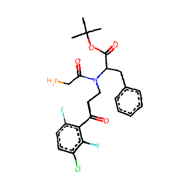 CC(C)(C)OC(=O)C(Cc1ccccc1)N(CCC(=O)c1c(F)ccc(Cl)c1F)C(=O)CP